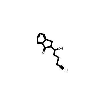 C#CCCCC(O)C1Cc2ccccc2C1=O